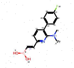 CC(C)N(C)c1nc(/C=C/B(O)O)ccc1-c1ccc(F)cc1